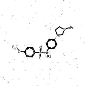 CCCN1CC[C@@H](c2ccc(NS(=O)(=O)c3ccc(OC(F)(F)F)cc3)cc2)C1.Cl